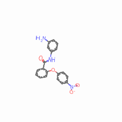 Nc1cccc(NC(=O)c2ccccc2Oc2ccc([N+](=O)[O-])cc2)c1